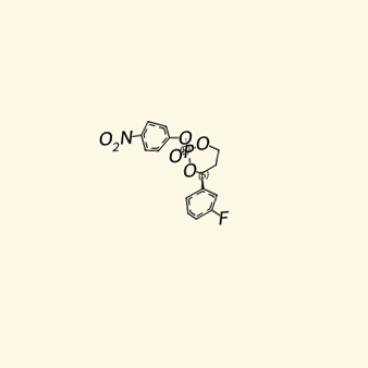 O=[N+]([O-])c1ccc(O[P@]2(=O)OCC[C@@H](c3cccc(F)c3)O2)cc1